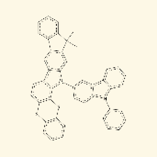 CC1(C)c2ccccc2-c2cc3c4ccc5c(c4n(-c4ccc6c(c4)c4ccccc4n6-c4ccccc4)c3cc21)Sc1ccccc1S5